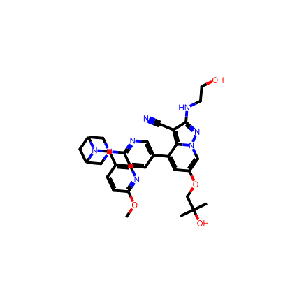 COc1ccc(CN2C3CC2CN(c2ccc(-c4cc(OCC(C)(C)O)cn5nc(NCCO)c(C#N)c45)cn2)C3)cn1